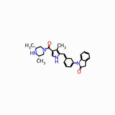 Cc1c(C(=O)N2C[C@@H](C)N[C@@H](C)C2)c[nH]c1/C=C1\C=CC=C(N2C(=O)Cc3ccccc32)C1